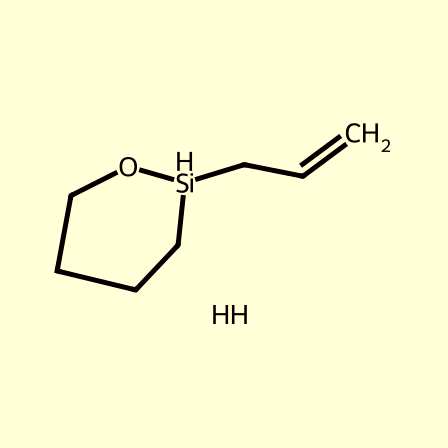 C=CC[SiH]1CCCCO1.[HH]